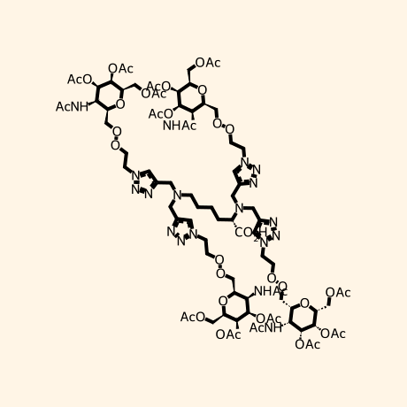 CC(=O)N[C@H]1[C@@H](OC(C)=O)[C@@H](OC(C)=O)[C@@H](COC(C)=O)O[C@H]1COOCCn1cc(CN(CCCC[C@@H](C(=O)O)N(Cc2cn(CCOOC[C@@H]3O[C@H](COC(C)=O)[C@H](OC(C)=O)[C@H](OC(C)=O)[C@@H]3NC(C)=O)nn2)Cc2cn(CCOOC[C@@H]3O[C@H](COC(C)=O)[C@H](OC(C)=O)[C@H](OC(C)=O)[C@@H]3NC(C)=O)nn2)Cc2cn(CCOOC[C@@H]3O[C@H](COC(C)=O)[C@H](OC(C)=O)[C@H](OC(C)=O)[C@@H]3NC(C)=O)nn2)nn1